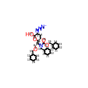 [N-]=[N+]=N[C@H]1CC[C@@H]([C@@H](COCc2ccccc2)N(Cc2ccccc2)C(=O)OCc2ccccc2)OC1O